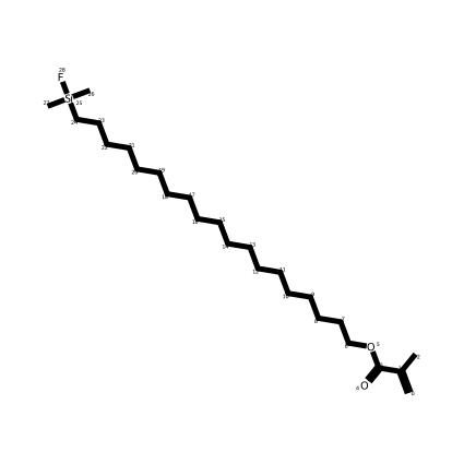 C=C(C)C(=O)OCCCCCCCCCCCCCCCCCCC[Si](C)(C)F